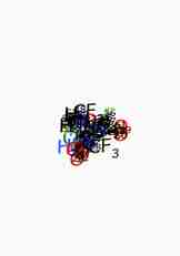 CC(C)(C#Cc1ccc(-c2ccc(Cl)c3c(NS(=O)(=O)CS(C)(=O)=O)nn(CC(F)(F)F)c23)c([C@H](Cc2cc(F)cc(F)c2)NC(=O)Cn2nc(C(F)(F)F)c3c2C(F)(F)[C@@H]2C[C@H]32)n1)S(C)(=O)=O